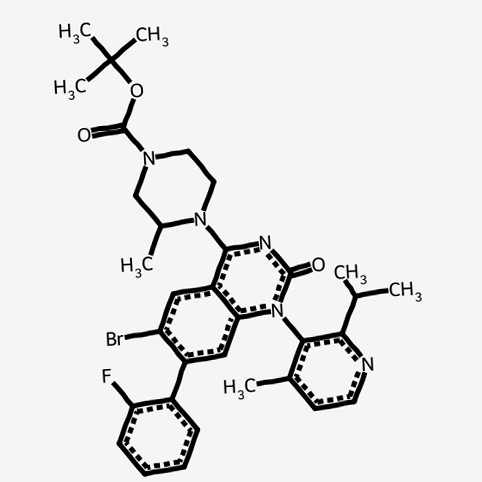 Cc1ccnc(C(C)C)c1-n1c(=O)nc(N2CCN(C(=O)OC(C)(C)C)CC2C)c2cc(Br)c(-c3ccccc3F)cc21